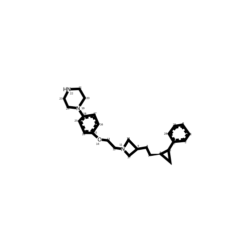 c1ccc(C2C[C@H]2CCC2CN(CCOc3ccc(N4CCNCC4)cc3)C2)cc1